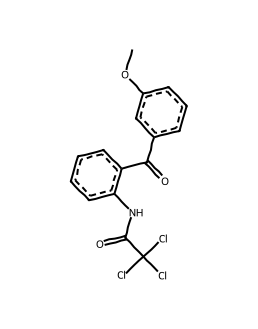 COc1cccc(C(=O)c2ccccc2NC(=O)C(Cl)(Cl)Cl)c1